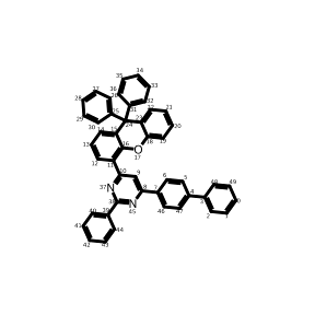 c1ccc(-c2ccc(-c3cc(-c4cccc5c4Oc4ccccc4C5(c4ccccc4)c4ccccc4)nc(-c4ccccc4)n3)cc2)cc1